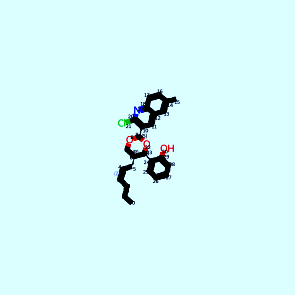 CCC/C=C\C[C@@H]1CO[C@H](c2cc3cc(C)ccc3nc2Cl)O[C@@H]1c1ccccc1O